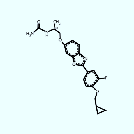 C[C@@H](COc1ccc2nc(-c3ccc(OCC4CC4)c(F)c3)oc2c1)NC(N)=O